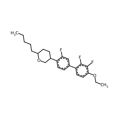 CCCCCC1CCC(c2ccc(-c3ccc(OCC)c(F)c3F)cc2F)CO1